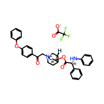 O=C(C[N+]12CCC(CC1)[C@@H](OC(=O)[C@H](Nc1ccccc1)c1ccccc1)C2)c1ccc(Oc2ccccc2)cc1.O=C([O-])C(F)(F)F